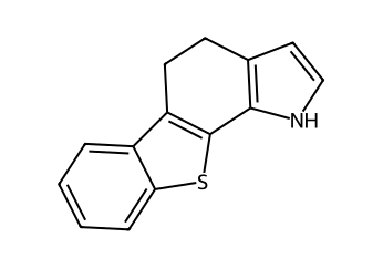 c1ccc2c3c(sc2c1)-c1[nH]ccc1CC3